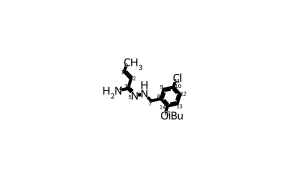 C/C=C/C(N)=N\NCc1cc(Cl)ccc1OCC(C)C